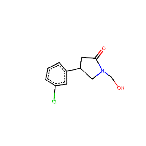 O=C1CC(c2cccc(Cl)c2)CN1CO